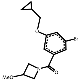 COC1CN(C(=O)c2cc(Br)cc(OCC3CC3)c2)C1